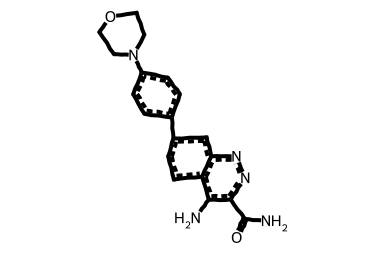 NC(=O)c1nnc2cc(-c3ccc(N4CCOCC4)cc3)ccc2c1N